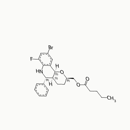 CCCCC(=O)OC[C@H]1CC[C@@H]2[C@H](O1)c1cc(Br)cc(F)c1N[C@H]2c1ccccc1